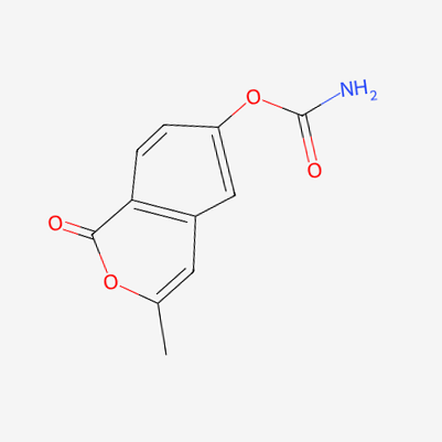 Cc1cc2cc(OC(N)=O)ccc2c(=O)o1